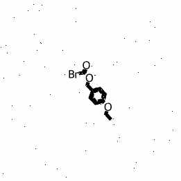 CCOc1ccc(COC(=O)Br)cc1